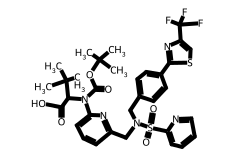 CC(C)(C)OC(=O)N(c1cccc(CN(Cc2ccc(-c3nc(C(F)(F)F)cs3)cc2)S(=O)(=O)c2ccccn2)n1)C(C(=O)O)C(C)(C)C